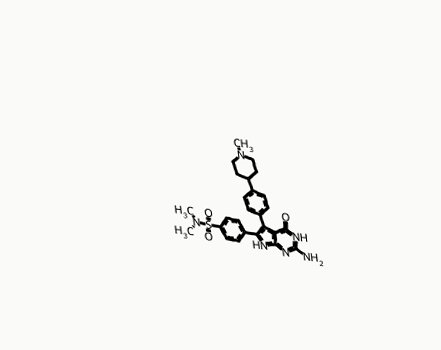 CN1CCC(c2ccc(-c3c(-c4ccc(S(=O)(=O)N(C)C)cc4)[nH]c4nc(N)[nH]c(=O)c34)cc2)CC1